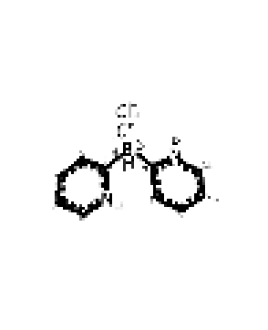 [Cl-].[Cl-].c1cc[c]([BiH+2][c]2ccccn2)nc1